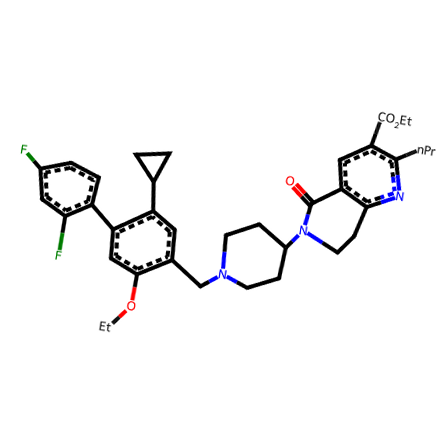 CCCc1nc2c(cc1C(=O)OCC)C(=O)N(C1CCN(Cc3cc(C4CC4)c(-c4ccc(F)cc4F)cc3OCC)CC1)CC2